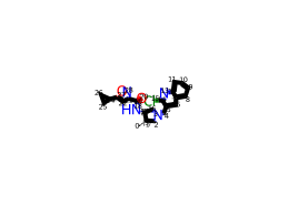 C[C@H]1CN(Cc2cc3ccccc3nc2Cl)C[C@H]1NC(=O)c1cc(C2CC2)on1